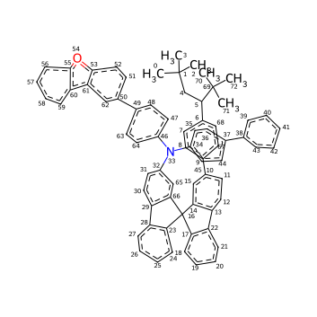 CC(C)(C)CC(c1ccc(-c2ccc3c(c2)C2(c4ccccc4-3)c3ccccc3-c3ccc(N(c4ccc(-c5ccccc5)cc4)c4ccc(-c5ccc6oc7ccccc7c6c5)cc4)cc32)cc1)C(C)(C)C